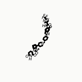 COc1cc2nn([C@H]3CC[C@H](CN4CCC(c5cccc6c5n(C)c(=O)n6C5CCC(=O)NC5=O)CC4)CC3)cc2cc1NC(=O)c1cnc(C(F)(F)F)nc1